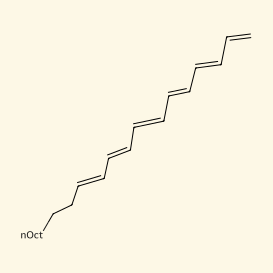 C=CC=CC=CC=CC=CC=CCCCCCCCCCC